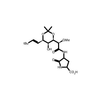 CO[C@@H](C(=O)NC1CC(C(=O)O)NC1=O)[C@@H]1OC(C)(C)O[C@H](/C=C/C(C)(C)C)[C@@H]1O